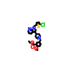 CCOC(=O)c1cc(CN2CCC(c3cn(Cc4ccc(Cl)s4)c4ncccc34)CC2)ccc1OC